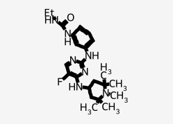 CCNC(=O)Nc1cccc(Nc2ncc(F)c(NC3CC(C)(C)N(C)C(C)(C)C3)n2)c1